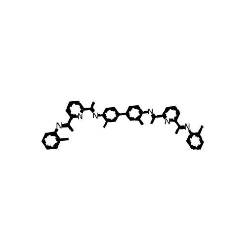 C/C(=N\c1ccccc1C)c1cccc(/C(C)=N/c2ccc(-c3ccc(/N=C(\C)c4cccc(/C(C)=N/c5ccccc5C)n4)c(C)c3)cc2C)n1